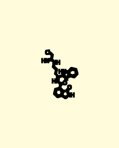 N=C(CCl)NCCC[C@H](NC(=O)c1cccc2c1C(=O)NC2)c1nc2ccccc2[nH]1